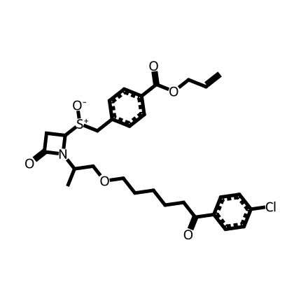 C=CCOC(=O)c1ccc(C[S+]([O-])C2CC(=O)N2C(C)COCCCCCC(=O)c2ccc(Cl)cc2)cc1